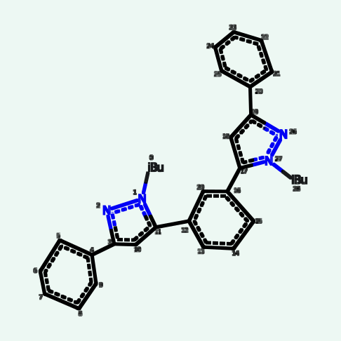 CCC(C)n1nc(-c2ccccc2)cc1-c1cccc(-c2cc(-c3ccccc3)nn2C(C)CC)c1